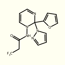 O=C(CC(F)(F)F)NN1C=CC=NC1(c1ccco1)n1cccn1